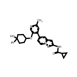 Cc1cc(-c2ccn3nc(NC(=O)C4CC4)cc3c2)c(OC2CCC(O)(C(C)C)CC2)cn1